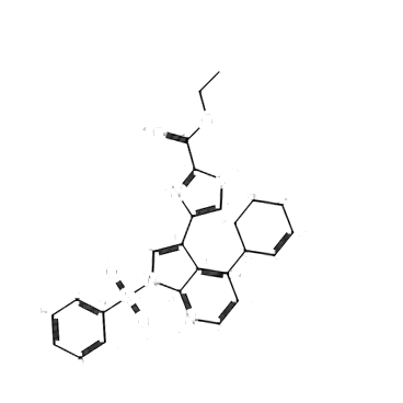 CCOC(=O)c1nc(-c2cn(S(=O)(=O)c3ccccc3)c3nccc(C4C=CCCC4)c23)cs1